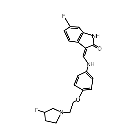 O=C1Nc2cc(F)ccc2C1=CNc1ccc(OCCN2CCC(F)C2)cc1